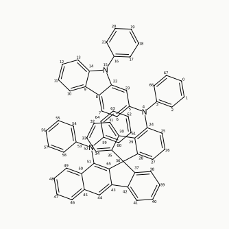 c1ccc(N(c2ccc3c4ccccc4n(-c4ccccc4)c3c2)c2cccc3c2-c2ccccc2C32c3ccccc3-c3cc4ccccc4c(N(c4ccccc4)c4ccccc4)c32)cc1